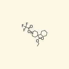 CCOC(=O)C1(C2CCCCC2)CCN(OC(=O)C(F)(F)F)CC1